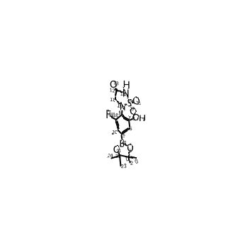 CC1(C)OB(c2cc(O)c(N3CC(=O)NS3(=O)=O)c(F)c2)OC1(C)C